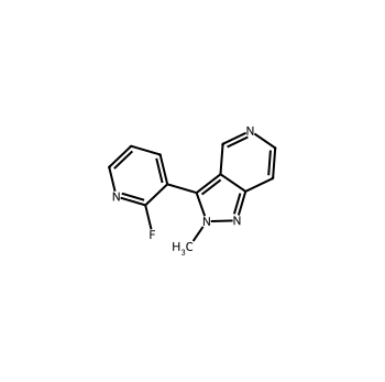 Cn1nc2ccncc2c1-c1cccnc1F